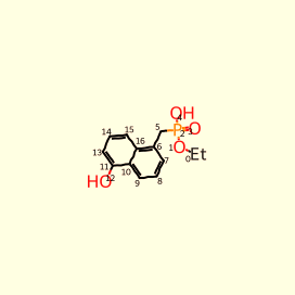 CCOP(=O)(O)Cc1cccc2c(O)cccc12